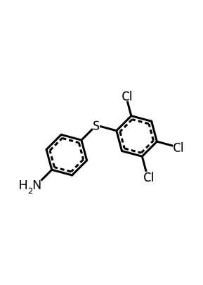 Nc1ccc(Sc2cc(Cl)c(Cl)cc2Cl)cc1